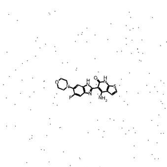 Nc1c(-c2nc3cc(F)c(N4CCOCC4)cc3[nH]2)c(=O)[nH]c2sccc12